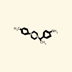 Cc1ccc(N2CCN(C(C)c3ccc(N)cc3)CC2)cc1